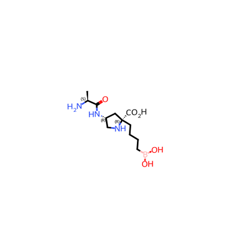 C[C@H](N)C(=O)N[C@H]1CN[C@@](CCCCB(O)O)(C(=O)O)C1